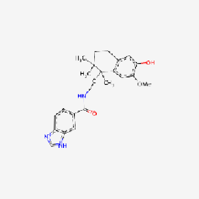 COc1cc2c(cc1O)CCC(C)(C)C2(C)CCNC(=O)c1ccc2nc[nH]c2c1